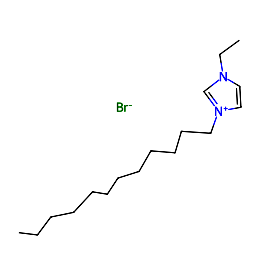 CCCCCCCCCCCC[n+]1ccn(CC)c1.[Br-]